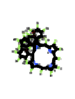 FC1=C(F)c2nc1c(F)c1c(F)c(F)c(c(F)c3nc(c(-c4c(F)c(F)c(F)c(F)c4F)c4c(-c5c(F)c(F)c(F)c(F)c5F)c(-c5c(F)c(F)c(F)c(F)c5F)c(c2F)n4-c2c(F)c(F)c(F)c(F)c2F)C(F)=C3F)n1F